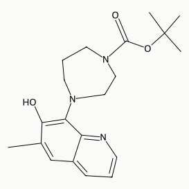 Cc1cc2cccnc2c(N2CCCN(C(=O)OC(C)(C)C)CC2)c1O